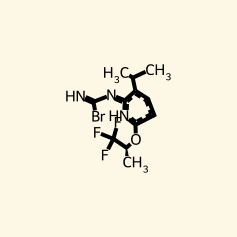 CC(C)c1ccc(O[C@@H](C)C(F)(F)F)[nH]/c1=N\C(=N)Br